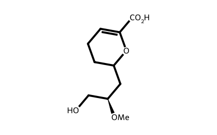 CO[C@@H](CO)CC1CCC=C(C(=O)O)O1